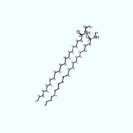 CCCCCCCCCCCCCCCCCCCCCC(=O)NC.CCCCCCCCCCCCCCCCCCCCCC(=O)NCC